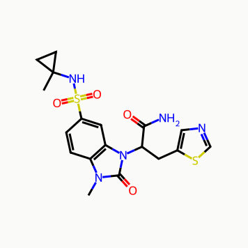 Cn1c(=O)n(C(Cc2cncs2)C(N)=O)c2cc(S(=O)(=O)NC3(C)CC3)ccc21